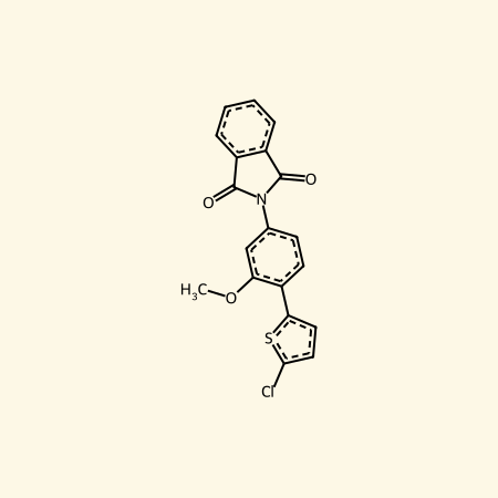 COc1cc(N2C(=O)c3ccccc3C2=O)ccc1-c1ccc(Cl)s1